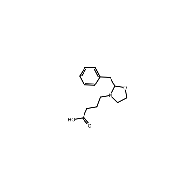 O=C(O)CCCN1CCOC1Cc1ccccc1